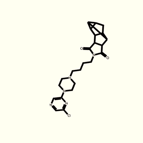 O=C1C2C(C(=O)N1CCCCN1CCN(c3cncc(Cl)n3)CC1)C1C3CC4C(C32)C41